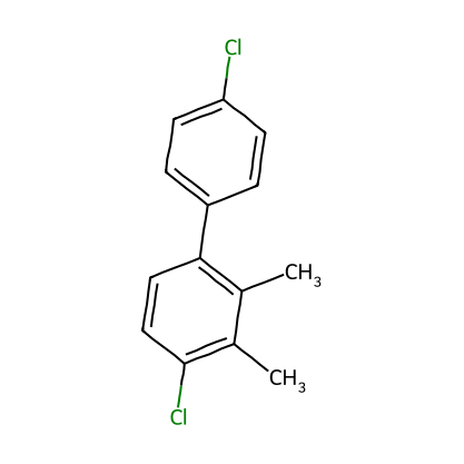 Cc1c(Cl)ccc(-c2ccc(Cl)cc2)c1C